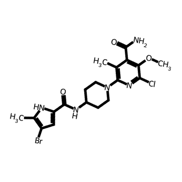 COc1c(Cl)nc(N2CCC(NC(=O)c3cc(Br)c(C)[nH]3)CC2)c(C)c1C(N)=O